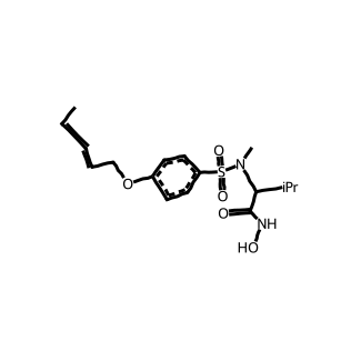 CC=C=CCOc1ccc(S(=O)(=O)N(C)C(C(=O)NO)C(C)C)cc1